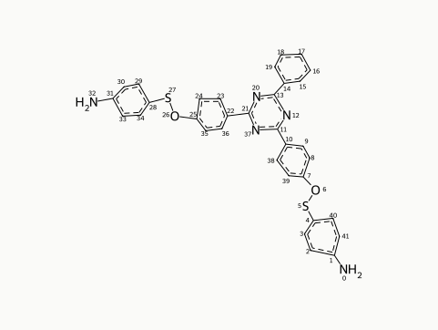 Nc1ccc(SOc2ccc(-c3nc(-c4ccccc4)nc(-c4ccc(OSc5ccc(N)cc5)cc4)n3)cc2)cc1